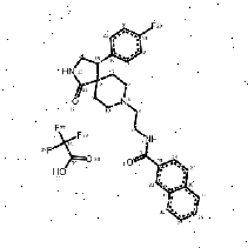 O=C(NCCN1CCC2(CC1)C(=O)NC[C@H]2c1ccc(F)cc1)c1ccc2ccccc2c1.O=C(O)C(F)(F)F